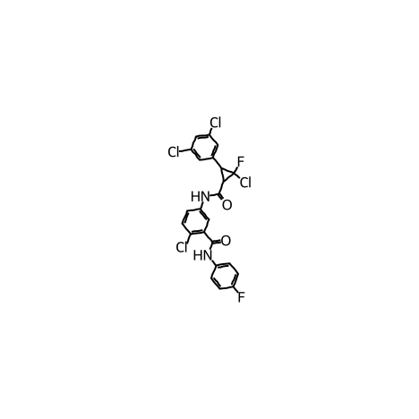 O=C(Nc1ccc(F)cc1)c1cc(NC(=O)C2C(c3cc(Cl)cc(Cl)c3)C2(F)Cl)ccc1Cl